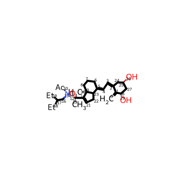 C=C1C(=CC=C2CCC[C@]3(C)C([C@H](C)ON(CC(CC)CC)C(C)=O)=CCC23)C[C@@H](O)C[C@@H]1O